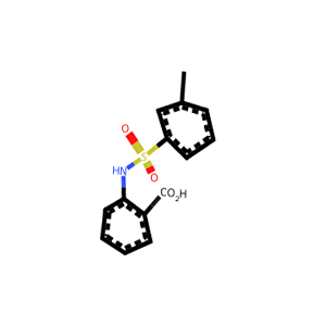 Cc1cccc(S(=O)(=O)Nc2ccccc2C(=O)O)c1